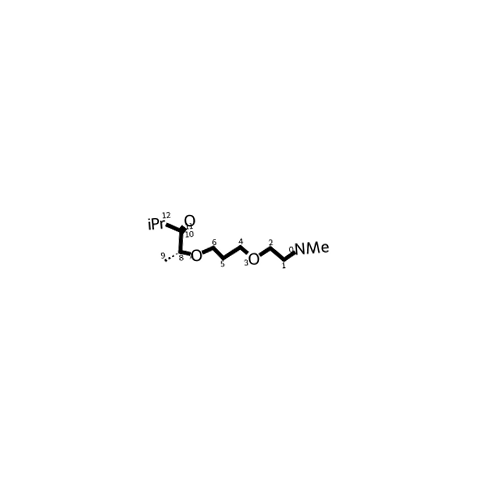 CNCCOCCCO[C@H](C)C(=O)C(C)C